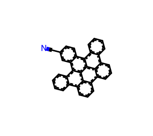 N#Cc1ccc2c(c1)c1c3ccccc3c3cccc4c5cccc6c7ccccc7c2c(c65)c1c34